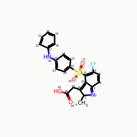 CC1N=c2ccc(F)c(S(=O)(=O)c3ccc(Nc4ccccc4)cc3)c2=C1CC(=O)O